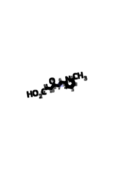 Cc1cccc(/C=C/C(=O)CCC(=O)O)n1